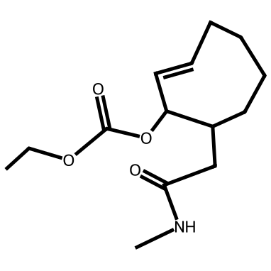 CCOC(=O)OC1/C=C/CCCCC1CC(=O)NC